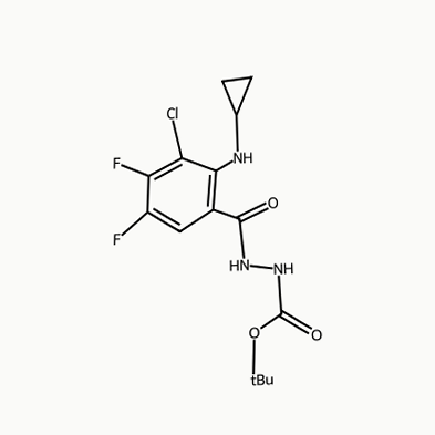 CC(C)(C)OC(=O)NNC(=O)c1cc(F)c(F)c(Cl)c1NC1CC1